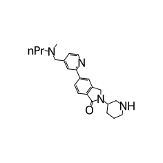 CCCN(C)Cc1ccnc(-c2ccc3c(c2)CN(C2CCCNC2)C3=O)c1